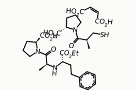 CCOC(=O)[C@H](CCc1ccccc1)N[C@@H](C)C(=O)N1CCC[C@H]1C(=O)O.C[C@H](CS)C(=O)N1CCC[C@H]1C(=O)O.O=C(O)/C=C\C(=O)O